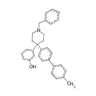 Cc1ccc(-c2ccc(C3(c4cccc(O)c4)CCN(Cc4ccccc4)CC3)cc2)cc1